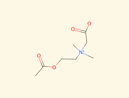 CC(=O)OCC[N+](C)(C)CC(=O)[O-]